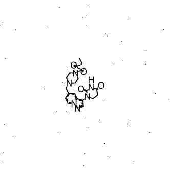 CCS(=O)(=O)N1CCN(Cc2ccn3ncc(N4CCC(=O)NC4=O)c3c2)C[C@@H]1C